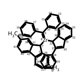 Cc1ccc2c(c1)[CH]([Zr](=[C](c1ccccc1)c1ccccc1)[CH]1C(c3ccccc3)=Cc3ccccc31)c1cc(C)ccc1-2